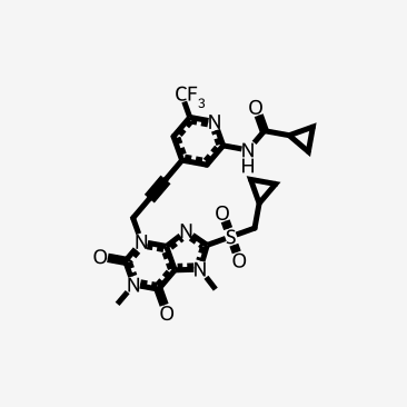 Cn1c(=O)c2c(nc(S(=O)(=O)CC3CC3)n2C)n(CC#Cc2cc(NC(=O)C3CC3)nc(C(F)(F)F)c2)c1=O